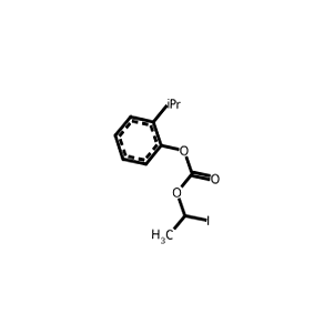 CC(I)OC(=O)Oc1ccccc1C(C)C